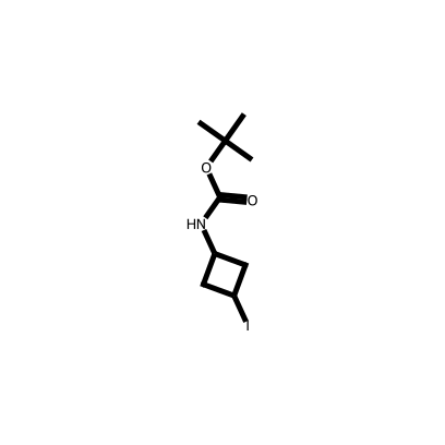 CC(C)(C)OC(=O)NC1CC(I)C1